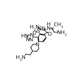 C[C@H](CN)NS(=O)(=O)c1ccc(N2CCC(CCN)CC2)c(-c2nn[nH]n2)c1S(N)(=O)=O